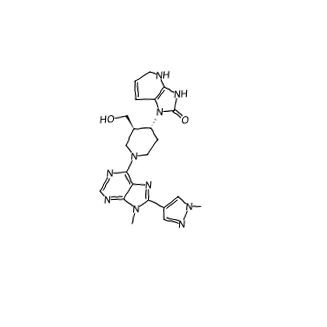 Cn1cc(-c2nc3c(N4CC[C@@H](n5c6c([nH]c5=O)NCC=C6)[C@H](CO)C4)ncnc3n2C)cn1